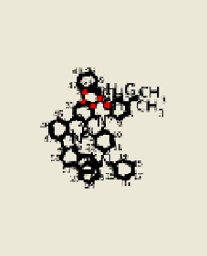 CC(C)(C)c1ccc(N2c3ccc(N(c4ccccc4)c4ccccc4)cc3B3c4c(cc5c(c42)C(C)(C)c2ccccc2-5)-c2cccc4c5ccc6ccccc6c5n3c24)c(-c2ccccc2)c1